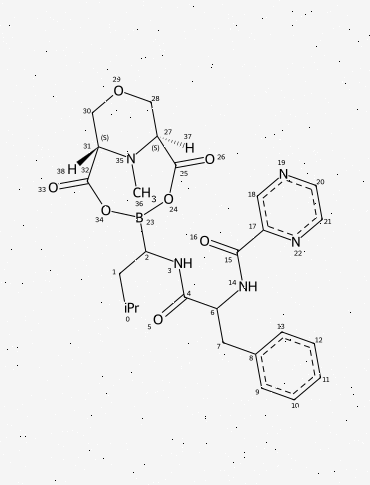 CC(C)CC(NC(=O)C(Cc1ccccc1)NC(=O)c1cnccn1)B1OC(=O)[C@@H]2COC[C@@H](C(=O)O1)N2C